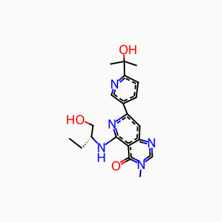 CC[C@H](CO)Nc1nc(-c2ccc(C(C)(C)O)nc2)cc2ncn(C)c(=O)c12